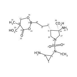 CN(C1CC1N)S(=O)(=O)N1C[C@H](CCCB2OCC(C)(C(=O)O)C(=O)O2)[C@](N)(C(=O)O)C1